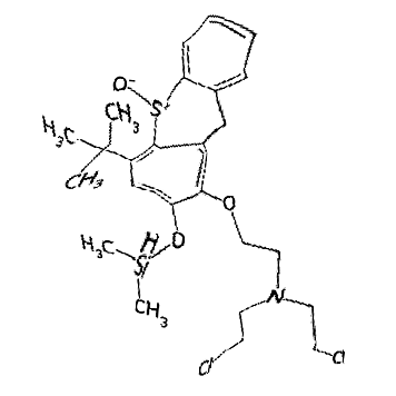 C[SiH](C)Oc1cc(C(C)(C)C)c2c(c1OCCN(CCCl)CCCl)Cc1ccccc1[S+]2[O-]